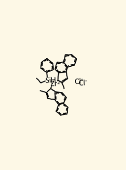 CC[SiH](c1ccccc1)[Zr+2]([CH]1C(C)=Cc2c1ccc1ccccc21)[CH]1C(C)=Cc2c1ccc1ccccc21.[Cl-].[Cl-]